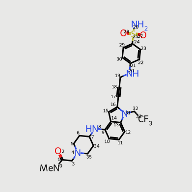 CNC(=O)CN1CCC(Nc2cccc3c2cc(C#CCNc2ccc(S(N)(=O)=O)cc2)n3CC(F)(F)F)CC1